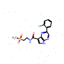 CS(=O)(=O)CCNC(=O)c1c[nH]c2ncc(-c3ccccc3Cl)nc12